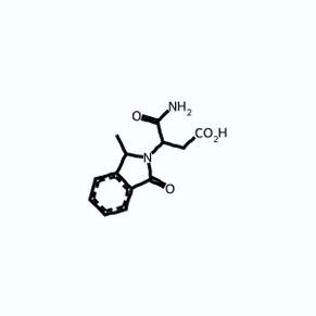 CC1c2ccccc2C(=O)N1C(CC(=O)O)C(N)=O